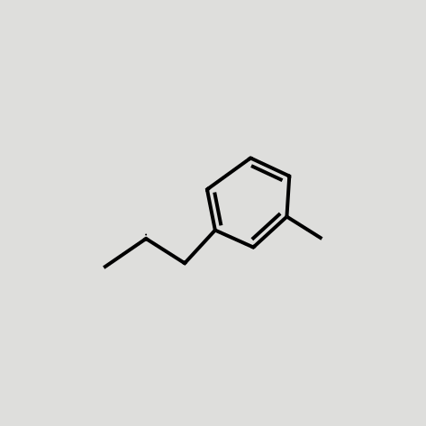 C[CH]Cc1cccc(C)c1